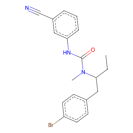 CCC(Cc1ccc(Br)cc1)N(C)C(=O)Nc1cccc(C#N)c1